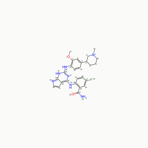 COc1cc(C2CCCN(C)C2)ccc1Nc1nc(Nc2ccc(F)cc2C(N)=O)c2ccnc-2[nH]1